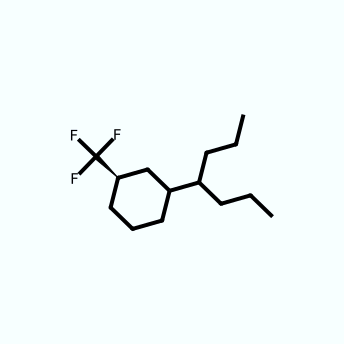 CCCC(CCC)C1CCC[C@@H](C(F)(F)F)C1